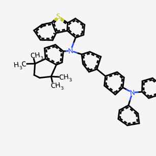 CC1(C)CCC(C)(C)c2cc(N(c3ccc(-c4ccc(N(c5ccccc5)c5ccccc5)cc4)cc3)c3cccc4sc5ccccc5c34)ccc21